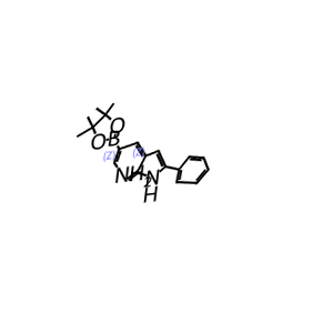 C=c1[nH]c(-c2ccccc2)c/c1=C/C(=C\N)B1OC(C)(C)C(C)(C)O1